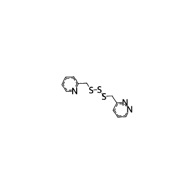 c1ccc(CSSSCc2cccnn2)nc1